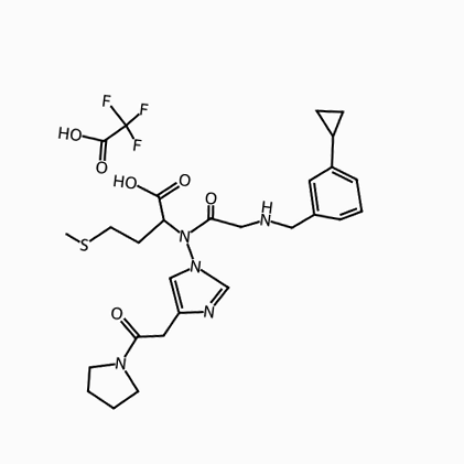 CSCCC(C(=O)O)N(C(=O)CNCc1cccc(C2CC2)c1)n1cnc(CC(=O)N2CCCC2)c1.O=C(O)C(F)(F)F